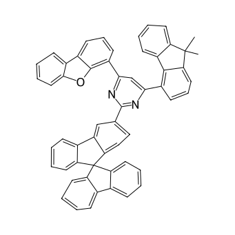 CC1(C)c2ccccc2-c2c(-c3cc(-c4cccc5c4oc4ccccc45)nc(-c4ccc5c(c4)-c4ccccc4C54c5ccccc5-c5ccccc54)n3)cccc21